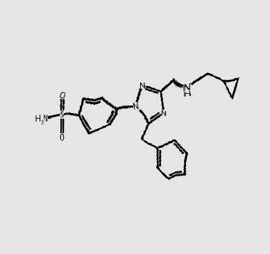 NS(=O)(=O)c1ccc(-n2nc(CNCC3CC3)nc2Cc2ccccc2)cc1